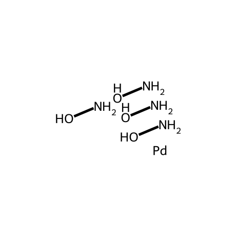 NO.NO.NO.NO.[Pd]